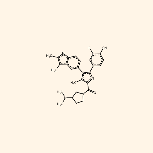 Cc1c2cc(-n3c(-c4ccc(C#N)c(F)c4)nc(C(=O)N4CCC(N(C)C)C4)c3C)ccc2nn1C